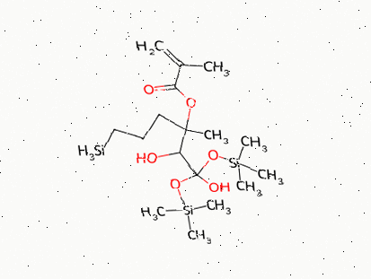 C=C(C)C(=O)OC(C)(CCC[SiH3])C(O)C(O)(O[Si](C)(C)C)O[Si](C)(C)C